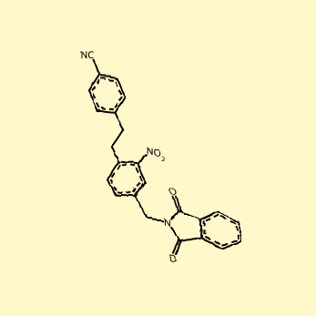 N#Cc1ccc(CCc2ccc(CN3C(=O)c4ccccc4C3=O)cc2[N+](=O)[O-])cc1